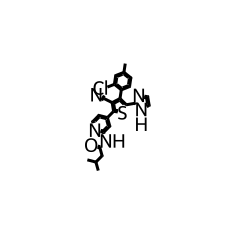 Cc1ccc(-c2c(-c3ncc[nH]3)sc(-c3ccnc(NC(=O)CC(C)C)c3)c2C#N)c(Cl)c1